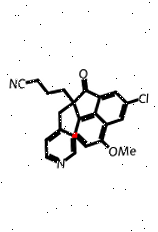 COc1ccc2c3c(cc(Cl)cc13)C(=O)C2(CCCC#N)Cc1ccncc1